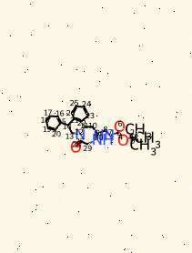 CC(C)(C)OC(=O)NCC1CCN(CC(c2ccccc2)c2ccccc2)C(=O)CN1